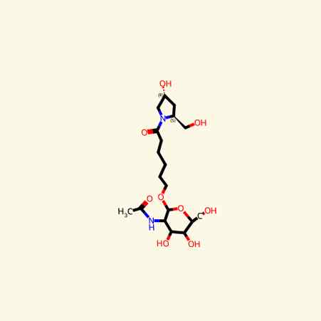 CC(=O)NC1C(OCCCCCC(=O)N2C[C@H](O)C[C@H]2CO)OC(CO)C(O)C1O